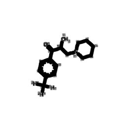 [2H]C([2H])([2H])c1ccc(C(=O)C(C)CN2CCCCC2)cc1